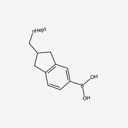 CCCCCCCCC1Cc2ccc(B(O)O)cc2C1